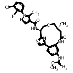 C=C(Nc1ccc2c(c1)NC(=O)C[C@@H](C)CCC[C@H](NC(=O)c1cnn(-c3cccc(Cl)c3F)c1C)c1nc-2c[nH]1)OC